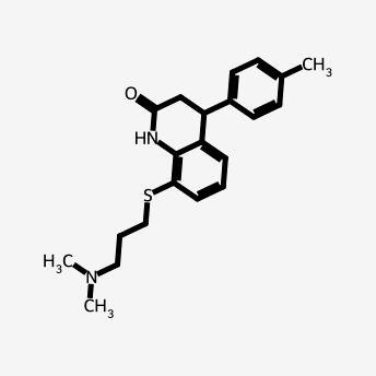 Cc1ccc(C2CC(=O)Nc3c(SCCCN(C)C)cccc32)cc1